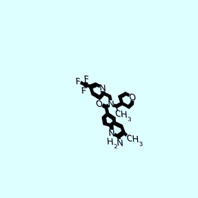 Cc1cc2cc(C(=O)N(Cc3ccc(C(F)(F)F)cn3)[C@@H](C)C3CCOCC3)ccc2nc1N